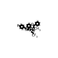 C[C@H](NS(=O)(=O)CCC(F)(F)F)[C@H](Oc1ccc2c(cnn2-c2ccc(F)cc2)c1)c1ccccc1